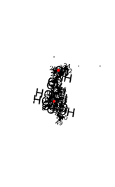 COC(=O)[C@@]12OC[C@]34C([C@@H](O)[C@@H]1O)[C@@]1(C)CC(=O)C(OC(=O)[C@H](CC(C)C)NC(=O)OC(C)(C)C)=C(C)[C@@H]1C[C@H]3OC(=O)[C@H](OC(O)C=C(C)C)[C@@H]24